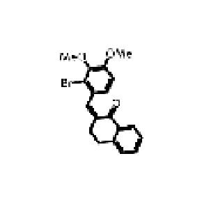 COc1ccc(C=C2CCc3ccccc3C2=O)c(Br)c1OC